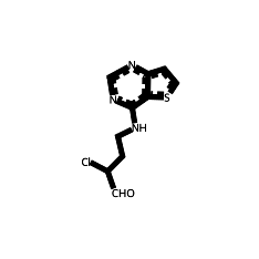 O=CC(Cl)CCNc1ncnc2ccsc12